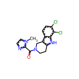 Cn1ccnc1C(=O)N1CCc2[nH]c3c(Cl)c(Cl)ccc3c2C1